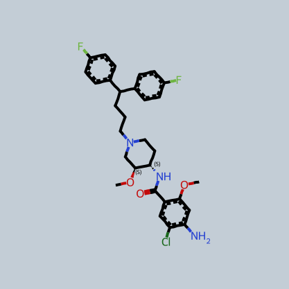 COc1cc(N)c(Cl)cc1C(=O)N[C@H]1CCN(CCCC(c2ccc(F)cc2)c2ccc(F)cc2)C[C@@H]1OC